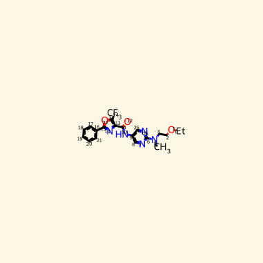 CCOCCN(C)c1ncc(NC(=O)c2nc(-c3ccccc3)oc2C(F)(F)F)cn1